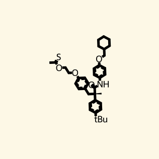 CC(=S)OCCOc1ccc(C[C@](C)(C(=O)Nc2ccc(OCC3CCCCC3)cc2)c2ccc(C(C)(C)C)cc2)cc1